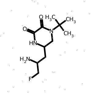 CC(C)(C)N1CC(CC(N)CF)NC(=O)C1=O